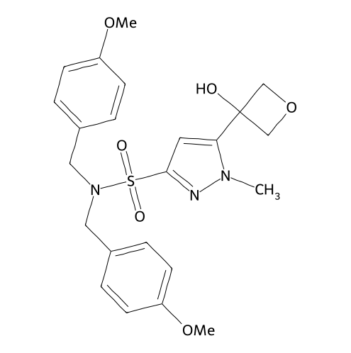 COc1ccc(CN(Cc2ccc(OC)cc2)S(=O)(=O)c2cc(C3(O)COC3)n(C)n2)cc1